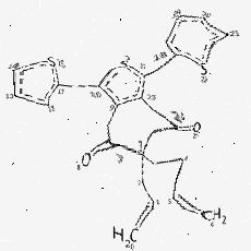 C=CCC1(CC=C)C(=O)c2c(-c3cccs3)sc(-c3cccs3)c2C1=O